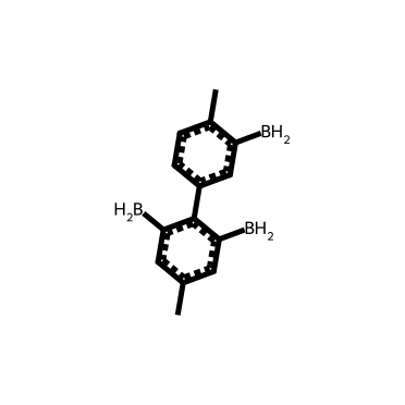 Bc1cc(-c2c(B)cc(C)cc2B)ccc1C